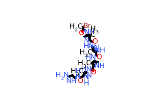 C=C(Br)C(=O)Nc1c[nH]c(C(=O)Nc2n[nH]c(C(=O)Nc3c[nH]c(C(=O)Nc4n[nH]c(C(=O)NCCC(=N)N)c4C)c3C)c2C)c1C